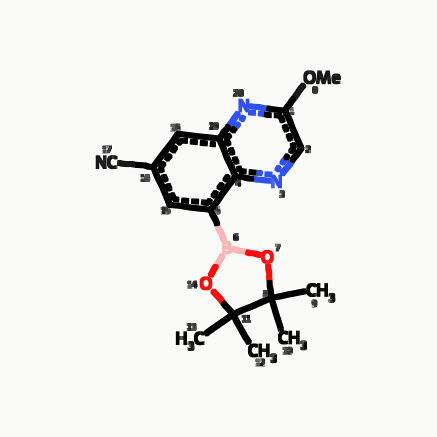 COc1cnc2c(B3OC(C)(C)C(C)(C)O3)cc(C#N)cc2n1